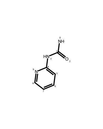 [NH]C(=O)Nc1ccccn1